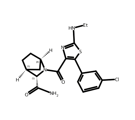 CCNc1nc(C(=O)N2[C@@H]3CC[C@@H](C3)[C@H]2C(N)=O)c(-c2cccc(Cl)c2)s1